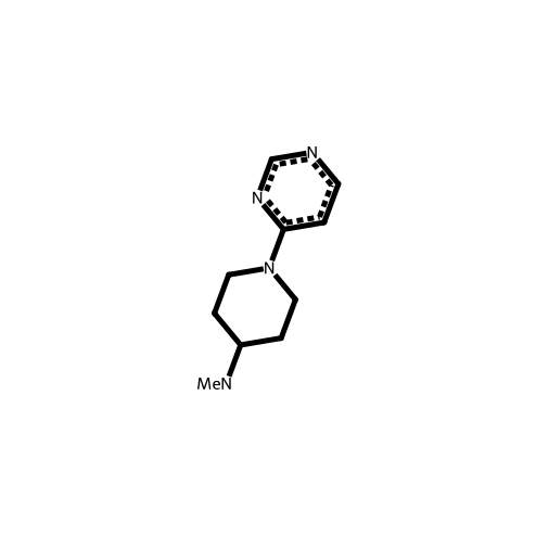 CNC1CCN(c2ccncn2)CC1